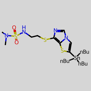 CCC[CH2][Sn]([CH2]CCC)([CH2]CCC)[c]1cn2cnc(SCCNS(=O)(=O)N(C)C)c2s1